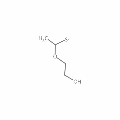 CC([S])OCCO